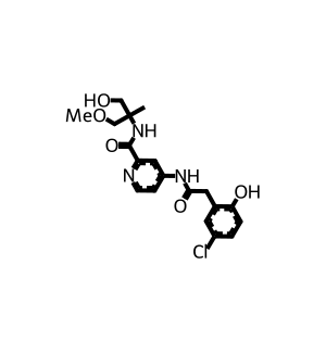 COCC(C)(CO)NC(=O)c1cc(NC(=O)Cc2cc(Cl)ccc2O)ccn1